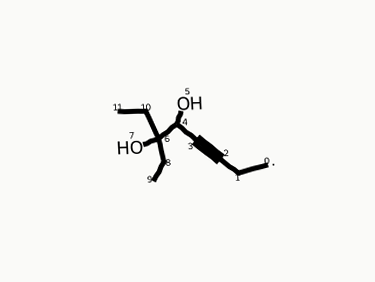 [CH2]CC#CC(O)C(O)(CC)CC